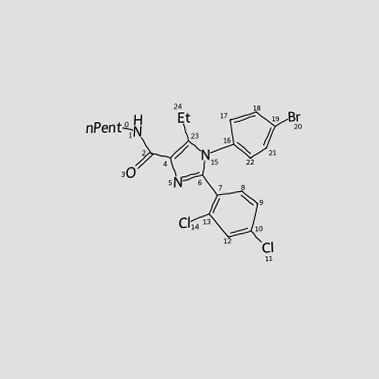 CCCCCNC(=O)c1nc(-c2ccc(Cl)cc2Cl)n(-c2ccc(Br)cc2)c1CC